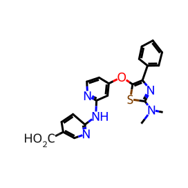 CN(C)c1nc(-c2ccccc2)c(Oc2ccnc(Nc3ccc(C(=O)O)cn3)c2)s1